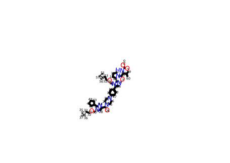 COC(=O)N[C@H](C(=O)N1CCC[C@H]1c1ncc(-c2ccc(N3CCN(C(=O)c4cn(COCC[Si](C)(C)C)c(C5CCCC5)n4)CC3)cc2)n1COCC[Si](C)(C)C)C(C)C